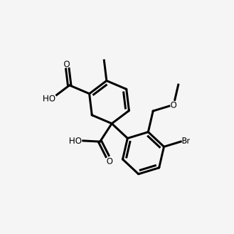 COCc1c(Br)cccc1C1(C(=O)O)C=CC(C)=C(C(=O)O)C1